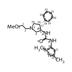 COCCN1C[C@H](NC(=O)Nc2cc(C)nn2C)[C@@H](c2ccccc2)C1